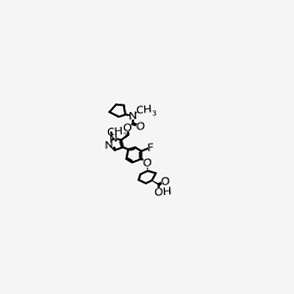 CN(C(=O)OCc1c(-c2ccc(O[C@H]3CCC[C@H](C(=O)O)C3)c(F)c2)cnn1C)C1CCCC1